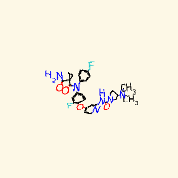 CN(C)[C@@H]1CCN(C(=O)Nc2cc(Oc3ccc(N(C(=O)C4(C(N)=O)CC4)c4ccc(F)cc4)cc3F)ccn2)C1